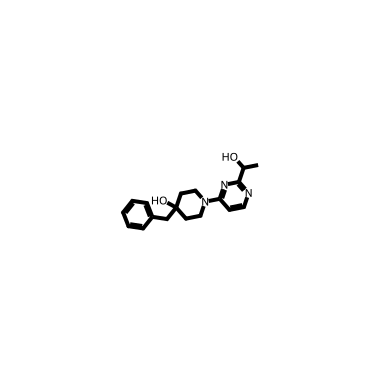 CC(O)c1nccc(N2CCC(O)(Cc3ccccc3)CC2)n1